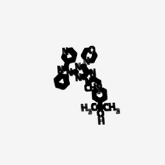 Cn1c(CN2CCC(C(C)(C)O)CC2)nc2c(N3CCOCC3)nc(-n3c(-c4cccnc4)nc4ccccc43)nc21